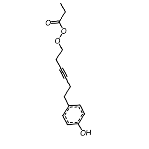 CCC(=O)OOCCC#CCCc1ccc(O)cc1